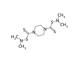 CN(C)SC(=S)N1CCN(C(=S)SN(C)C)CC1